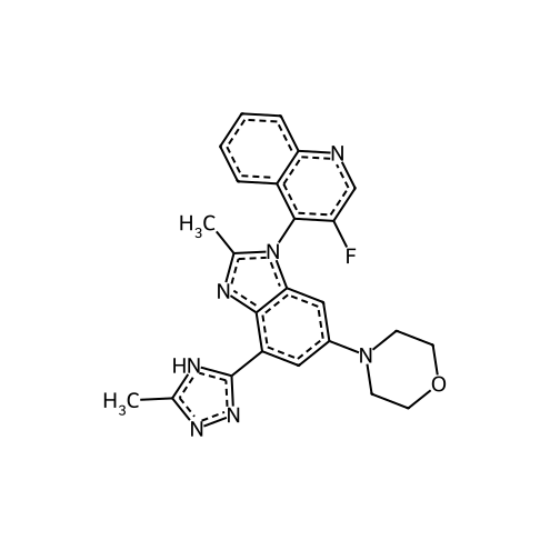 Cc1nnc(-c2cc(N3CCOCC3)cc3c2nc(C)n3-c2c(F)cnc3ccccc23)[nH]1